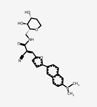 CN(C)c1ccc2cc(-c3ccc(/C=C(\C#N)C(=O)NC[C@H]4OCC[C@@H](O)[C@@H]4O)o3)ccc2c1